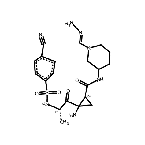 C[C@H](NS(=O)(=O)c1ccc(C#N)cc1)C(=O)C1([NH])C[C@@H]1C(=O)NC1CCCN(C=NN)C1